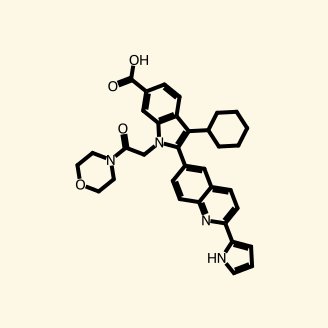 O=C(O)c1ccc2c(C3CCCCC3)c(-c3ccc4nc(-c5ccc[nH]5)ccc4c3)n(CC(=O)N3CCOCC3)c2c1